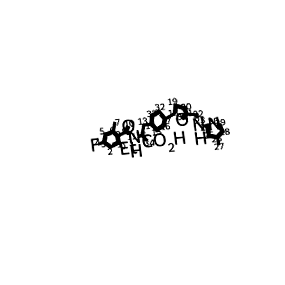 CCc1cc(F)cc(C)c1C(=O)NC(Cc1ccc(-c2ccc(CNc3cc(C)ccn3)o2)cc1)C(=O)O